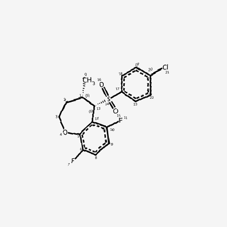 C[C@H]1CCOc2c(F)ccc(F)c2[C@H]1S(=O)(=O)c1ccc(Cl)cc1